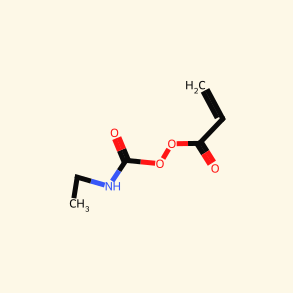 C=CC(=O)OOC(=O)NCC